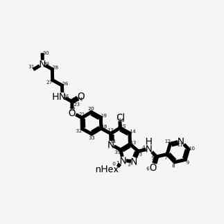 CCCCCCn1nc(NC(=O)c2cccnc2)c2cc(Cl)c(-c3ccc(OC(=O)NCCCN(C)C)cc3)nc21